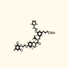 COCCCc1cc(CN(C(=O)C(CN)Cc2ccc(OCCOc3c(Cl)cc(C)cc3Cl)cc2)C2CC2)cc(OCCN2CCCC2)c1